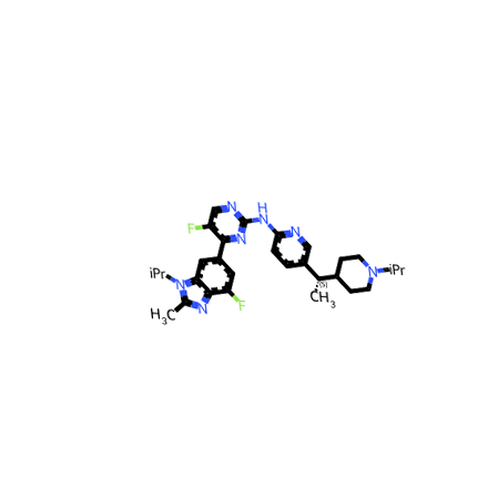 Cc1nc2c(F)cc(-c3nc(Nc4ccc([C@@H](C)C5CCN(C(C)C)CC5)cn4)ncc3F)cc2n1C(C)C